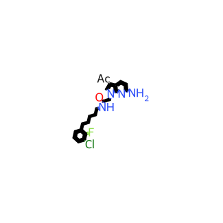 CC(=O)c1cn(CC(=O)NCCCCCc2cccc(Cl)c2F)c2nc(N)ccc12